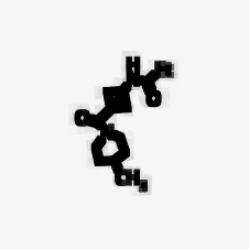 CCC(=O)NC12CC(C(=O)N3CCC(C)CC3)(C1)C2